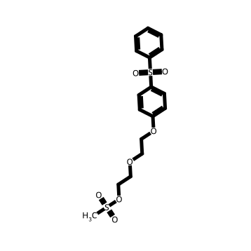 CS(=O)(=O)OCCOCCOc1ccc(S(=O)(=O)c2ccccc2)cc1